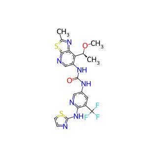 CO[C@@H](C)c1c(NC(=O)Nc2cnc(Nc3nccs3)c(C(F)(F)F)c2)cnc2sc(C)nc12